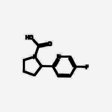 O=C(O)N1CCCC1c1ccc(F)cn1